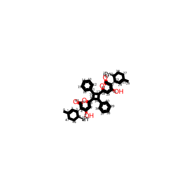 CC1=C[C@H](c2c(O)cc(C3C(c4ccccc4)C(c4cc(O)c([C@H]5C=C(C)CC[C@@H]5C(C)C)c(=O)o4)C3c3ccccc3)oc2=O)[C@@H](C(C)C)CC1